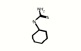 NC(=S)[N]C1CCCCC1